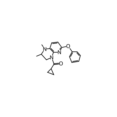 CC1CN(C(=O)C2CC2)c2nc(Oc3ccccc3)ccc2N1C